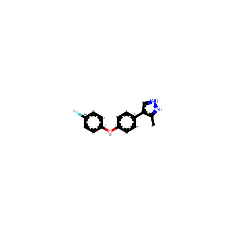 Cc1n[nH]cc1-c1ccc(Oc2ccc(F)cc2)cc1